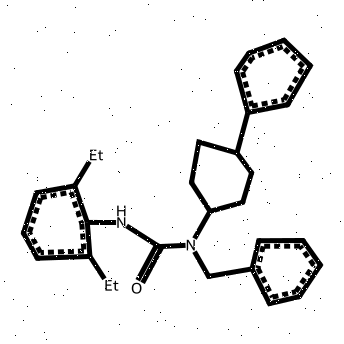 CCc1cccc(CC)c1NC(=O)N(Cc1ccccc1)C1CCC(c2ccccc2)CC1